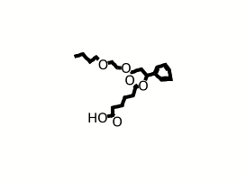 CCCCOCCOCCC(OC(=O)CCCCC(=O)O)c1ccccc1